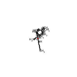 CCCCCCCCCCNCCC(=O)N[C@@H](CCCCN)C(=O)N(C)[C@@H]1C(=O)N[C@@H](C)C(=O)N[C@H](C(=O)N[C@@H](C)C(C)=O)Cc2ccc(O)c(c2)-c2cc1ccc2O